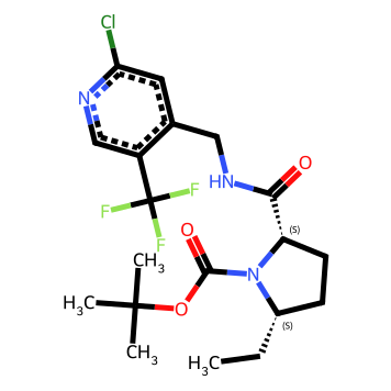 CC[C@H]1CC[C@@H](C(=O)NCc2cc(Cl)ncc2C(F)(F)F)N1C(=O)OC(C)(C)C